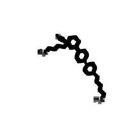 CCCCCC[C@H]1CC[C@H](C2CCC(C3CCCC(C#N)(CCCCC)C3)CC2)CC1